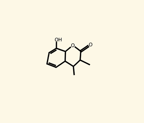 CC1C(=O)OC2C(O)=CC=CC2C1C